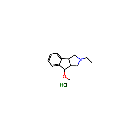 CCN1CC2c3ccccc3C(OC)C2C1.Cl